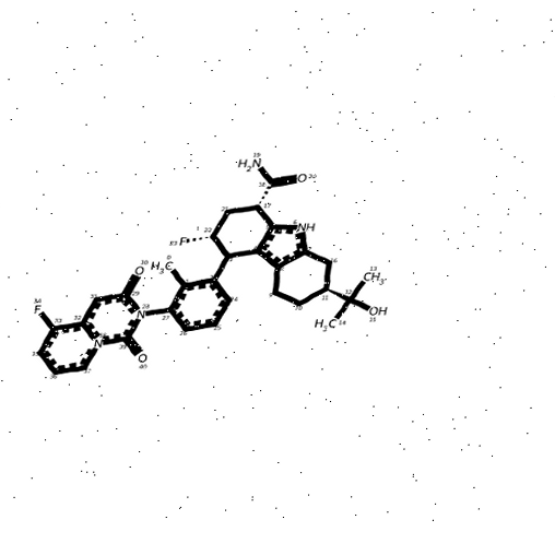 Cc1c(C2c3c([nH]c4c3CC[C@H](C(C)(C)O)C4)[C@@H](C(N)=O)C[C@H]2F)cccc1-n1c(=O)cc2c(F)cccn2c1=O